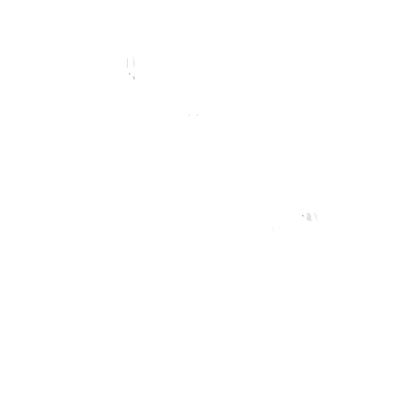 NS(=O)(=O)OC(COc1ccc(CC2(C=O)CNC(=O)S2)cc1)c1ccc(C(F)(F)F)cc1